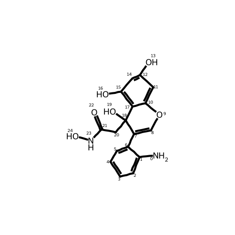 Nc1ccccc1C1=COc2cc(O)cc(O)c2C1(O)CC(=O)NO